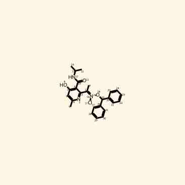 CC(c1nc(C)cc(O)c1C(=O)NC(C)C)=[N+](Cl)OC(c1ccccc1)c1ccccc1